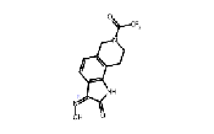 O=C1Nc2c(ccc3c2CCN(C(=O)C(F)(F)F)C3)/C1=N/O